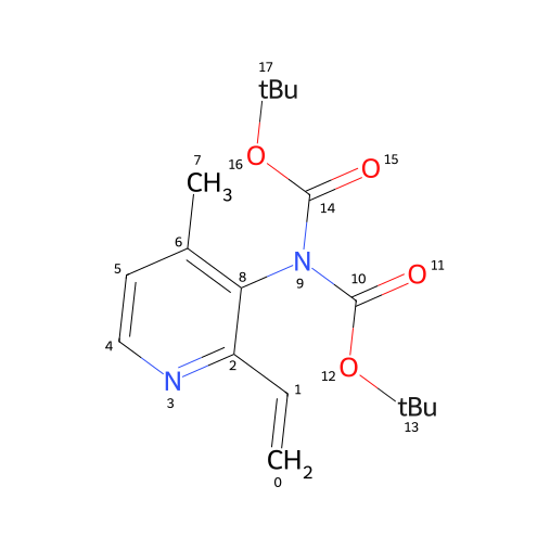 C=Cc1nccc(C)c1N(C(=O)OC(C)(C)C)C(=O)OC(C)(C)C